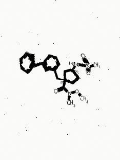 CON(C)C(=O)[C@@]1(Cc2cccc(-c3ccccc3)c2)CC[C@H](NS(C)(=O)=O)C1